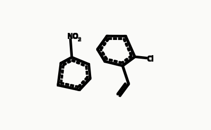 C=Cc1ccccc1Cl.O=[N+]([O-])c1ccccc1